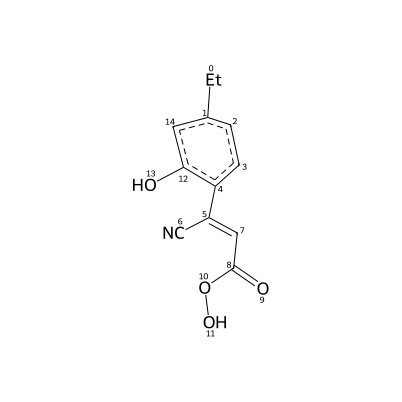 CCc1ccc(C(C#N)=CC(=O)OO)c(O)c1